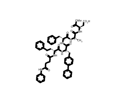 COC(=O)[C@@H](CC(=O)O)NC(=O)[C@H](C)NC(=O)[C@@H](Cc1ccccc1)NC(=O)[C@H](Cc1ccc(-c2ccccc2)cc1)NC(=O)[C@@H](CCc1ccccc1)NC(=O)CCC(=O)Nc1ccccc1